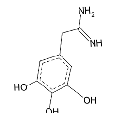 N=C(N)Cc1cc(O)c(O)c(O)c1